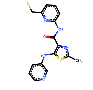 Cc1nc(C(=O)Nc2cccc(CF)n2)c(Nc2cccnc2)s1